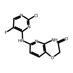 O=C1COc2ccc(Nc3nc(Cl)ncc3F)nc2N1